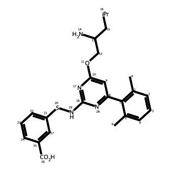 Cc1cccc(C)c1-c1cc(OCC(N)CC(C)C)nc(NSc2cccc(C(=O)O)c2)n1